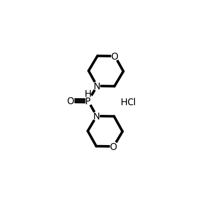 Cl.O=[PH](N1CCOCC1)N1CCOCC1